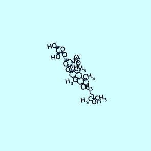 CC(C)(O)CCCCC1CC[C@@]2(C)C3CC=C4C(CC[C@H](O[C@H]5C[C@@H]([N+](=O)[O-])C[C@@H](CO[C@H]6OC[C@@H](O)C[C@H]6O)O5)[C@@]4(C)P)[C@]3(C)CC[C@]12C